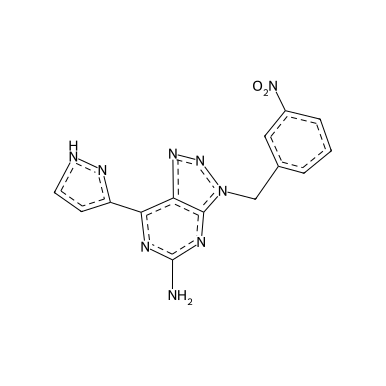 Nc1nc(-c2cc[nH]n2)c2nnn(Cc3cccc([N+](=O)[O-])c3)c2n1